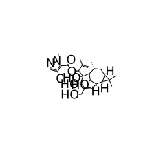 CC1=C[C@]23C(O)[C@@H](C=C(CO)[C@@H](O)[C@]2(O)[C@H]1OC(=O)c1c(Cl)cnn1C)[C@H]1[C@@H](C[C@H]3C)C1(C)C